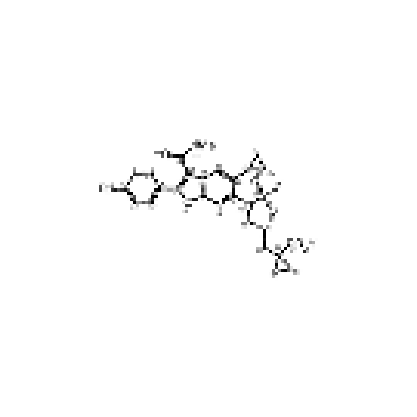 CCc1ccc(-c2oc3nc(N(CCCC4(C(=O)O)CC4)S(C)(=O)=O)c(C4CC4)cc3c2C(=O)NC)cc1